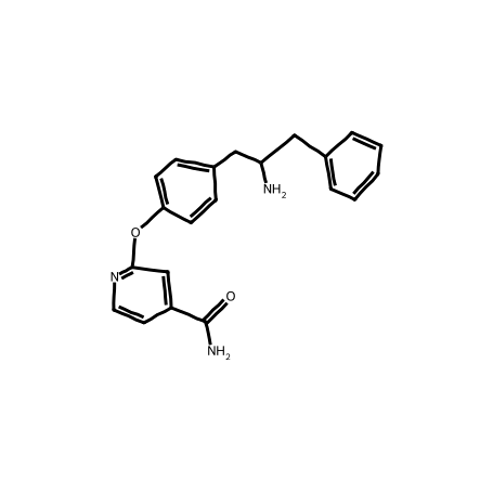 NC(=O)c1ccnc(Oc2ccc(CC(N)Cc3ccccc3)cc2)c1